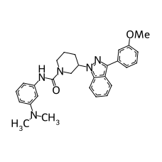 COc1cccc(-c2nn(C3CCCN(C(=O)Nc4cccc(N(C)C)c4)C3)c3ccccc23)c1